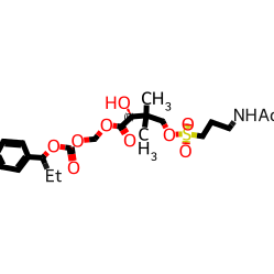 CCC(OC(=O)OCOC(=O)[C@H](O)C(C)(C)COS(=O)(=O)CCCNC(C)=O)c1ccccc1